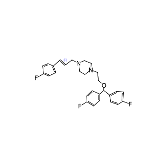 Fc1ccc(/C=C/CN2CCN(CCOC(c3ccc(F)cc3)c3ccc(F)cc3)CC2)cc1